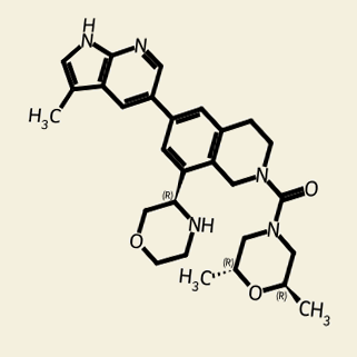 Cc1c[nH]c2ncc(-c3cc4c(c([C@@H]5COCCN5)c3)CN(C(=O)N3C[C@@H](C)O[C@H](C)C3)CC4)cc12